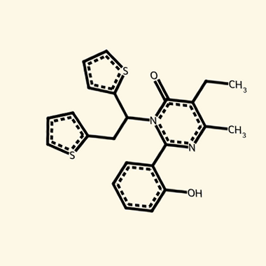 CCc1c(C)nc(-c2ccccc2O)n(C(Cc2cccs2)c2cccs2)c1=O